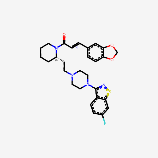 O=C(/C=C/c1ccc2c(c1)OCO2)N1CCCC[C@H]1CCN1CCN(c2nsc3cc(F)ccc23)CC1